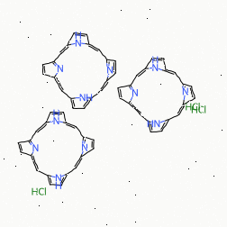 C1=Cc2cc3ccc(cc4nc(cc5ccc(cc1n2)[nH]5)C=C4)[nH]3.C1=Cc2cc3ccc(cc4nc(cc5ccc(cc1n2)[nH]5)C=C4)[nH]3.C1=Cc2cc3ccc(cc4nc(cc5ccc(cc1n2)[nH]5)C=C4)[nH]3.Cl.Cl.Cl